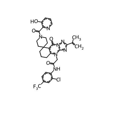 C=C(C)c1nc2n(CC(=O)Nc3ccc(C(F)(F)F)cc3Cl)c3c(c(=O)n2n1)C1(CCC3)CCN(C(=O)c2ncccc2O)CC1